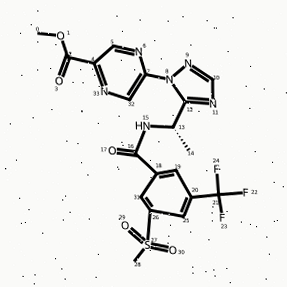 COC(=O)c1cnc(-n2ncnc2[C@H](C)NC(=O)c2cc(C(F)(F)F)cc(S(C)(=O)=O)c2)cn1